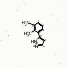 Cc1c(N)cccc1-c1ccn[nH]1